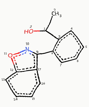 CC(O)c1ccccc1-c1noc2ccccc12